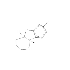 FC(F)(F)c1ccc2c(c1)O[C@H]1CCCN[C@@H]21